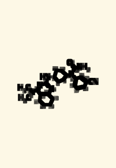 CN(C)c1nc(N[C@H]2CC[C@@H](N(C(N)=O)c3cccc(C#N)c3)CC2)nc2c1CCCC2